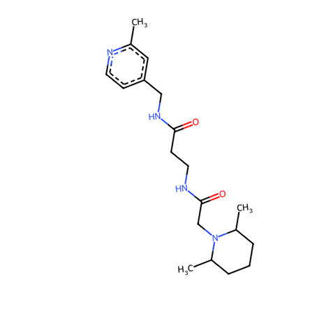 Cc1cc(CNC(=O)CCNC(=O)CN2C(C)CCCC2C)ccn1